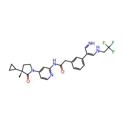 C[C@@]1(C2CC2)CCN(c2ccnc(NC(=O)Cc3cccc(/C(C=N)=C/NCC(F)(F)F)c3)c2)C1=O